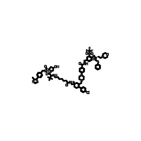 Cc1ncsc1-c1ccc(CNC(=O)[C@@H]2C[C@@H](O)CN2C(=O)C(NCCCCCCC(=O)NCC2(C)CCC(c3ccc(Cl)cc3)=C(CN3CCN(c4ccc(C(=O)NSc5ccc(N[C@H](CCN6CCOCC6)CSc6ccccc6)c(S(=O)(=O)C(F)(F)F)c5)cc4)CC3)C2)C(C)(C)C)cc1